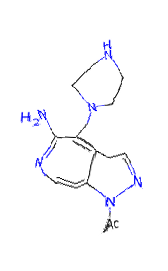 CC(=O)n1ncc2c(N3CCNCC3)c(N)ncc21